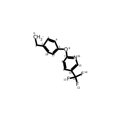 [CH2]Cc1ccc(Oc2ccc(C(F)(F)F)cn2)cc1